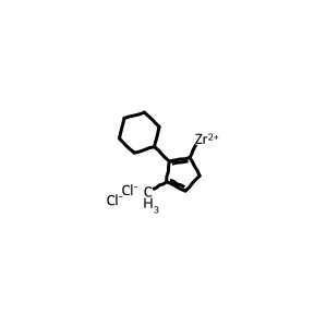 CC1=CC[C]([Zr+2])=C1C1CCCCC1.[Cl-].[Cl-]